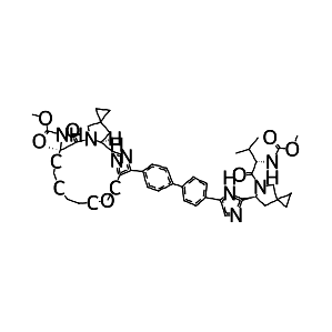 COC(=O)N[C@H](C(=O)N1CC2(CC2)C[C@H]1c1ncc(-c2ccc(-c3ccc(-c4nc5[nH]c4COCCCCCC[C@@](C)(NC(=O)OC)C(=O)N4CC6(CC6)C[C@@H]54)cc3)cc2)[nH]1)C(C)C